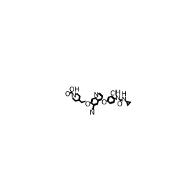 N#Cc1cc2c(Oc3ccc(NC(=O)NC4CC4)c(Cl)c3)ccnc2cc1OCCC1CCN(C(=O)O)CC1